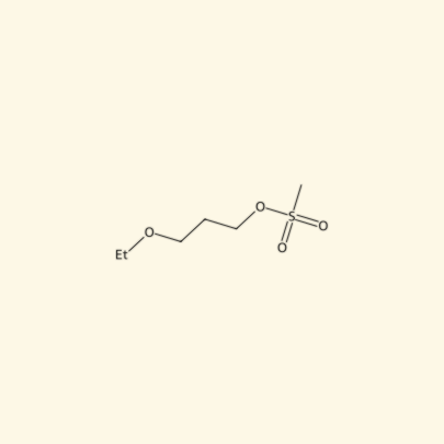 CCOCCCOS(C)(=O)=O